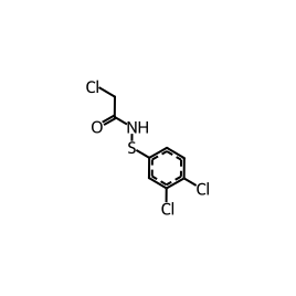 O=C(CCl)NSc1ccc(Cl)c(Cl)c1